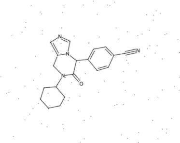 N#Cc1ccc(C2C(=O)N(C3CCCCC3)Cc3cncn32)cc1